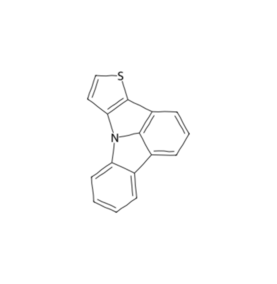 c1ccc2c(c1)c1cccc3c4sccc4n2c13